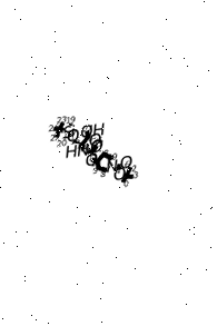 CC(C)(C)OC(=O)N1CCC(OC(=O)N[C@@H](CO[Si](C)(C)C(C)(C)C)C(=O)O)CC1